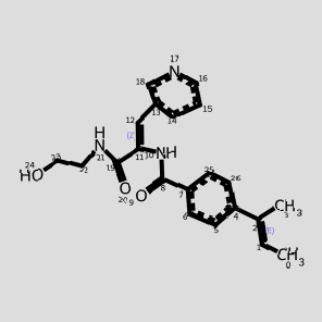 C/C=C(\C)c1ccc(C(=O)N/C(=C\c2cccnc2)C(=O)NCCO)cc1